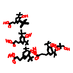 CC(C)(C)c1cc(CCC(=O)O)cc(C(C)(C)C)c1O.CC(C)(C)c1cc(CCC(=O)O)cc(C(C)(C)C)c1O.CC(C)(C)c1cc(CCC(=O)O)cc(C(C)(C)C)c1O.CC(C)(C)c1cc(CCC(=O)O)cc(C(C)(C)C)c1O.CC(C)(CO)CO